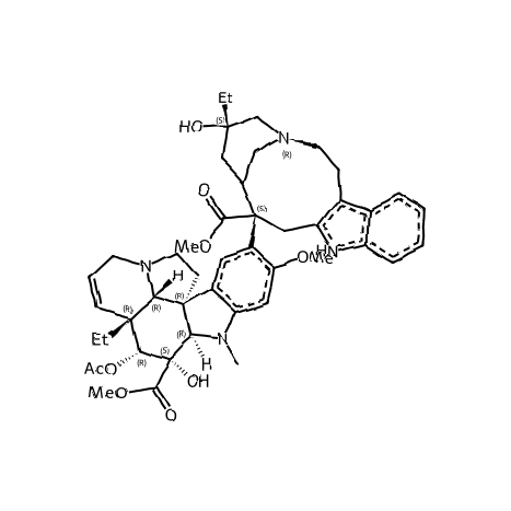 CC[C@]1(O)CC2C[N@](CCc3c([nH]c4ccccc34)C[C@@]2(C(=O)OC)c2cc3c(cc2OC)N(C)[C@H]2[C@@](O)(C(=O)OC)[C@H](OC(C)=O)[C@]4(CC)C=CCN5CC[C@]32[C@@H]54)C1